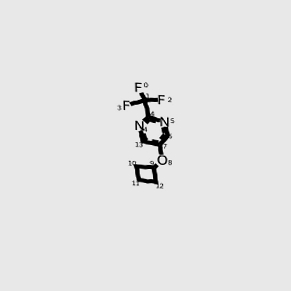 FC(F)(F)c1ncc(OC2CCC2)cn1